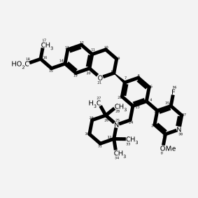 COc1cc(-c2ccc([C@@H]3CCc4ccc(CC(C)C(=O)O)cc4O3)cc2CN2C(C)(C)CCCC2(C)C)c(F)cn1